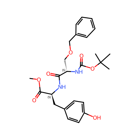 COC(=O)[C@H](Cc1ccc(O)cc1)NC(=O)[C@H](COCc1ccccc1)NC(=O)OC(C)(C)C